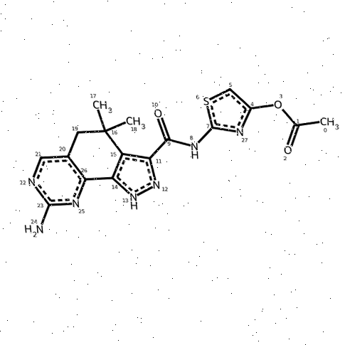 CC(=O)Oc1csc(NC(=O)c2n[nH]c3c2C(C)(C)Cc2cnc(N)nc2-3)n1